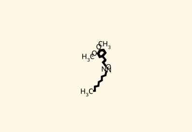 CCCCCCCCc1noc(C=Cc2ccc(OC)c(OC)c2)n1